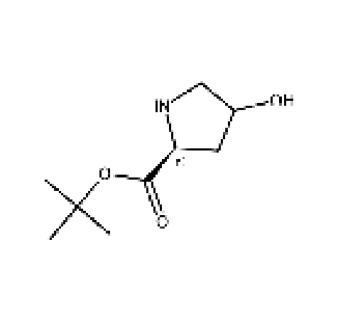 CC(C)(C)OC(=O)[C@@H]1CC(O)CN1